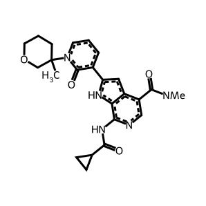 CNC(=O)c1cnc(NC(=O)C2CC2)c2[nH]c(-c3cccn(C4(C)CCCOC4)c3=O)cc12